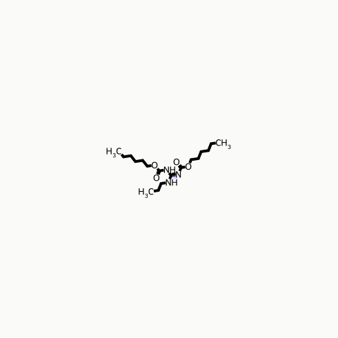 CCCCCCOC(=O)/N=C(/NCCC)NC(=O)OCCCCCC